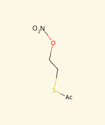 CC(=O)SCCO[N+](=O)[O-]